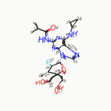 CC(C)C(=O)Nc1nc(NC2CC2)c2ncn([C@@H]3OC(CO)(CO)[C@@H](C)[C@H]3F)c2n1